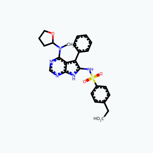 CN(c1ncnc2[nH]c(NS(=O)(=O)c3ccc(CC(=O)O)cc3)c(-c3ccccc3)c12)C1CCCO1